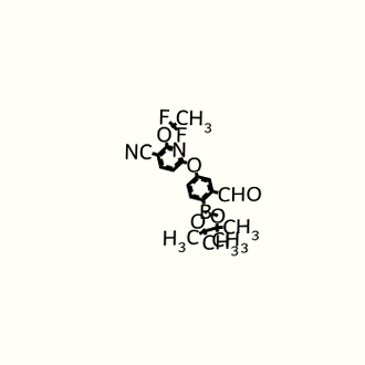 CC(F)(F)Oc1nc(Oc2ccc(B3OC(C)(C)C(C)(C)O3)c(C=O)c2)ccc1C#N